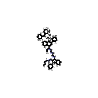 C=C/C=C\C=C\C1C(/C=C/C=C/C=C(\C=C)c2cc3c4ccccc4n(-c4nc(-c5ccccc5)c5cccnc5n4)c3c3ccccc23)c2ccccc2N1c1ccccc1